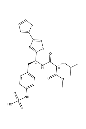 COC(=O)[C@@H](CC(C)C)C(=O)N[C@@H](Cc1ccc(NS(=O)(=O)O)cc1)c1nc(-c2cccs2)cs1